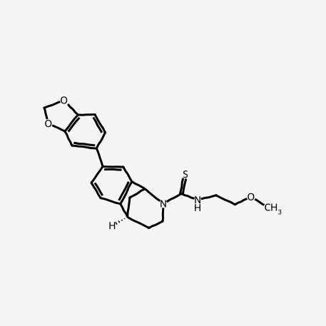 COCCNC(=S)N1CC[C@@H]2CC1c1cc(-c3ccc4c(c3)OCO4)ccc12